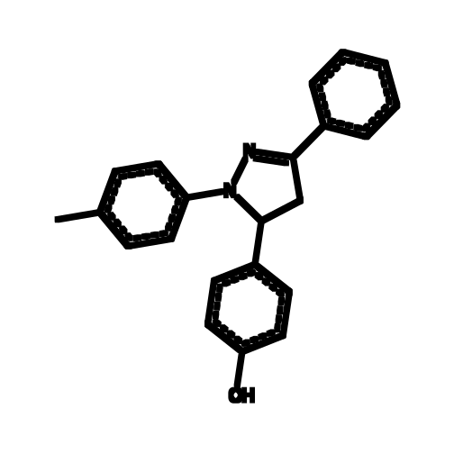 Cc1ccc(N2N=C(c3ccccc3)CC2c2ccc(O)cc2)cc1